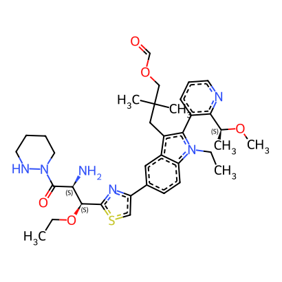 CCO[C@H](c1nc(-c2ccc3c(c2)c(CC(C)(C)COC=O)c(-c2cccnc2[C@H](C)OC)n3CC)cs1)[C@H](N)C(=O)N1CCCCN1